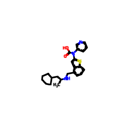 CC(CC1CCCCC1)NCc1cccc2sc(N(C(=O)O)c3cccnc3)cc12